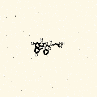 O=C(CN(c1ccccc1)C1(Cc2cccc(Cl)c2)C(=O)Nc2cc(Cl)ccc21)NCCc1cnc[nH]1